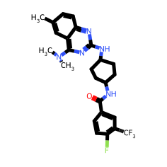 Cc1ccc2nc(NC3CCC(NC(=O)c4ccc(F)c(C(F)(F)F)c4)CC3)nc(N(C)C)c2c1